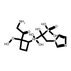 NCC(=O)C1(OO)CCC1[PH](O)(O)C(O)(Cn1ccnc1)P(=O)(O)O